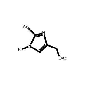 CCn1cc(COC(C)=O)nc1C(C)=O